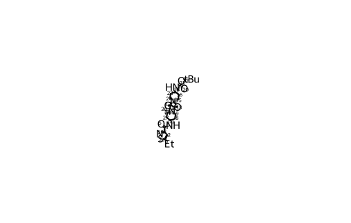 CCc1cc(C(=O)N[C@H]2CCN(S(=O)(=O)N3CCC(NC(=O)OC(C)(C)C)CC3)[C@@H](C)C2)ns1